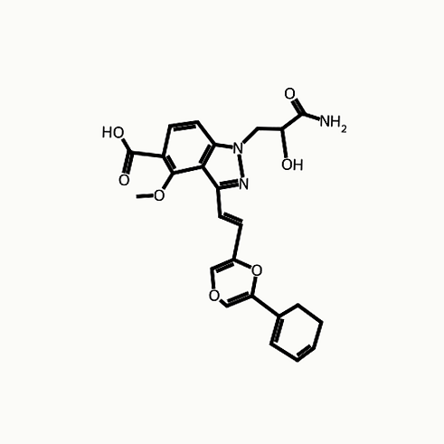 COc1c(C(=O)O)ccc2c1c(C=CC1=COC=C(C3=CC=CCC3)O1)nn2CC(O)C(N)=O